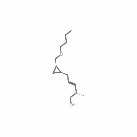 CCCCOC[C@@H]1C[C@@H]1CC=C[C@H](C)CO